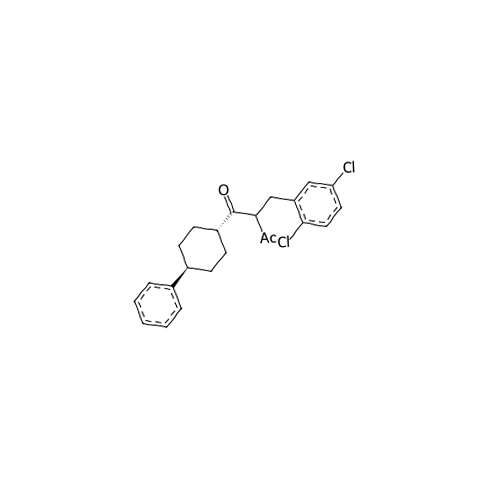 CC(=O)C(Cc1cc(Cl)ccc1Cl)C(=O)[C@H]1CC[C@H](c2ccccc2)CC1